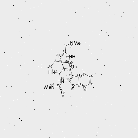 CNCC1=NC2(CCNCC2C(=O)c2c(NC(=O)NC)sc3ncccc23)C(=O)N1